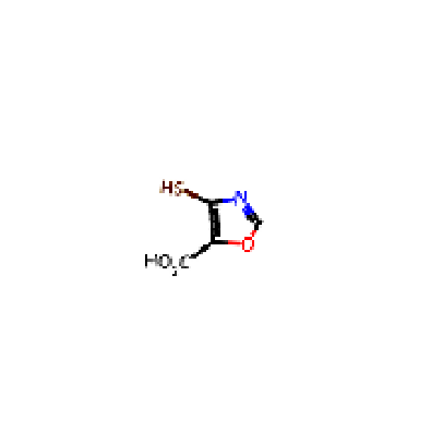 O=C(O)c1ocnc1S